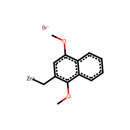 COc1cc([CH2][Zn+])c(OC)c2ccccc12.[Br-]